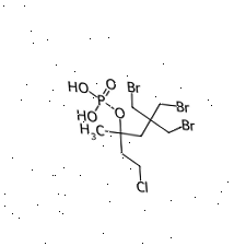 CC(CCCl)(CC(CBr)(CBr)CBr)OP(=O)(O)O